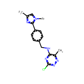 Cc1nnc(Cl)nc1NCc1ccc(-c2nc(C(F)(F)F)cn2C(C)C)cc1